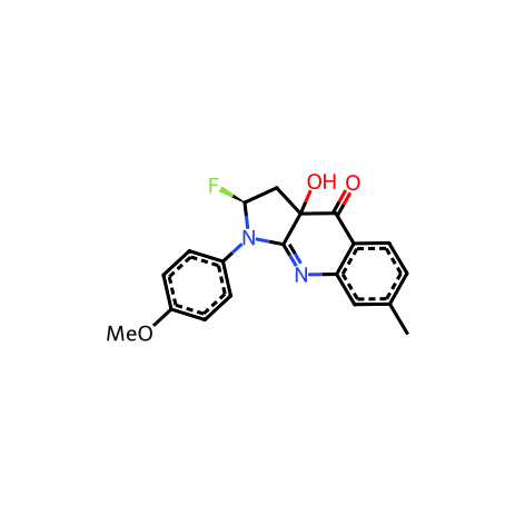 COc1ccc(N2C3=Nc4cc(C)ccc4C(=O)C3(O)C[C@@H]2F)cc1